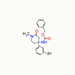 CC(C)c1cccc(C2(NC(=O)OCc3ccccc3)CCN(C)C(=O)C2)c1